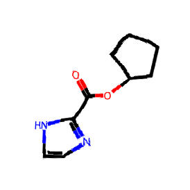 O=C(OC1CCCC1)c1ncc[nH]1